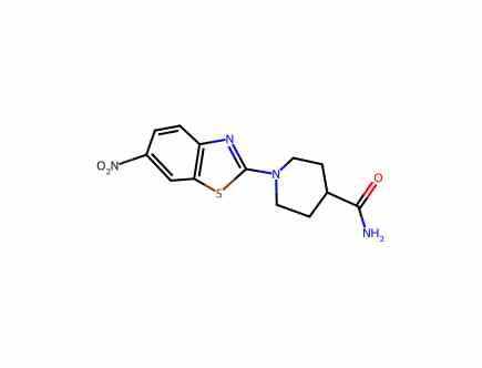 NC(=O)C1CCN(c2nc3ccc([N+](=O)[O-])cc3s2)CC1